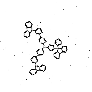 c1ccc(C2(c3ccc(N(c4ccc(-c5cccc(-n6c7ccccc7c7ccccc76)c5)cc4)c4ccc(-c5cccc(-n6c7ccccc7c7ccccc76)c5)cc4)cc3)c3ccccc3-c3ccccc32)cc1